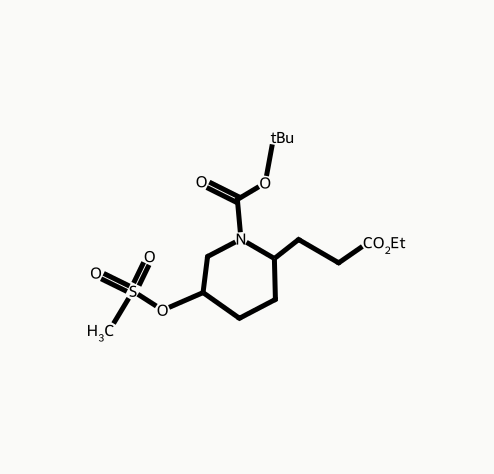 CCOC(=O)CCC1CCC(OS(C)(=O)=O)CN1C(=O)OC(C)(C)C